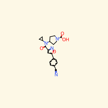 N#Cc1ccc(-c2cc(C(=O)N(C3CC3)C3CCN(C(=O)O)CC3)no2)cc1